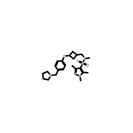 Cc1nn(C)c(C)c1S(=O)(=O)N(C)CC1CC(Oc2ccc(CN3CCCC3)cc2)C1